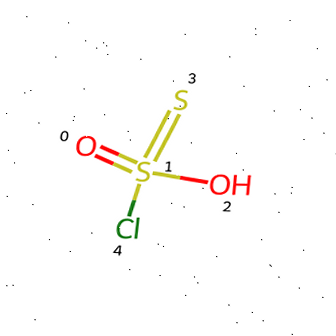 O=S(O)(=S)Cl